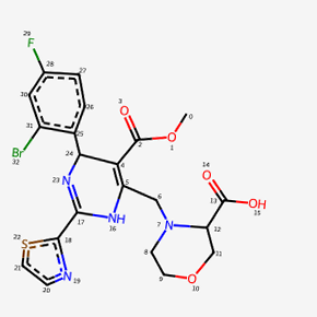 COC(=O)C1=C(CN2CCOCC2C(=O)O)NC(c2nccs2)=NC1c1ccc(F)cc1Br